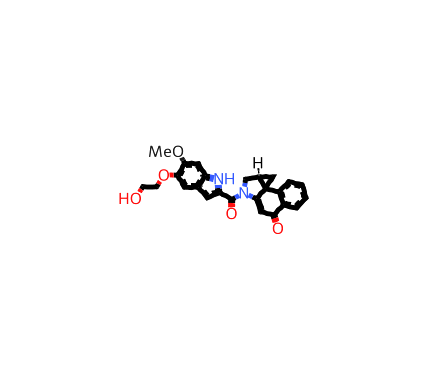 COc1cc2[nH]c(C(=O)N3C[C@H]4CC45C3=CC(=O)c3ccccc35)cc2cc1OCCO